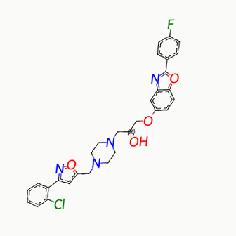 O[C@@H](COc1ccc2oc(-c3ccc(F)cc3)nc2c1)CN1CCN(Cc2cc(-c3ccccc3Cl)no2)CC1